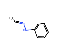 FC(F)(F)C=NNc1ccccc1